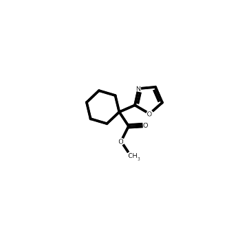 COC(=O)C1(c2ncco2)CCCCC1